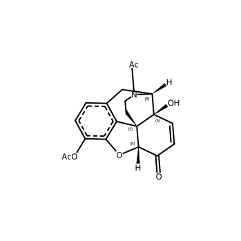 CC(=O)Oc1ccc2c3c1O[C@H]1C(=O)C=C[C@@]4(O)[C@@H](C2)N(C(C)=O)CC[C@]314